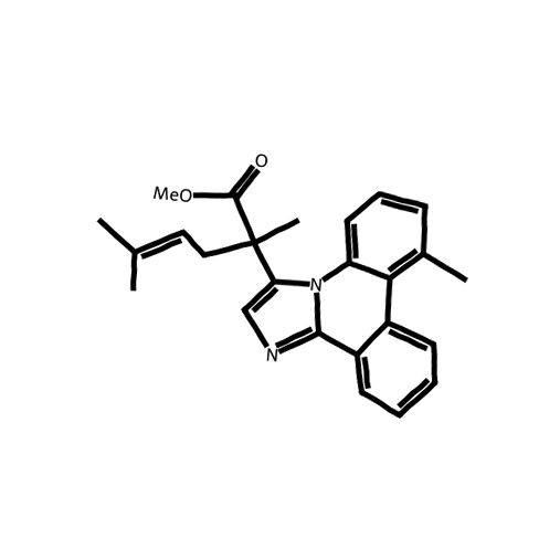 COC(=O)C(C)(CC=C(C)C)c1cnc2c3ccccc3c3c(C)cccc3n12